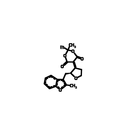 CCC1(C)OC(=O)C(=C2CCO[C@H]2Cc2c(C)oc3ccccc23)C(=O)O1